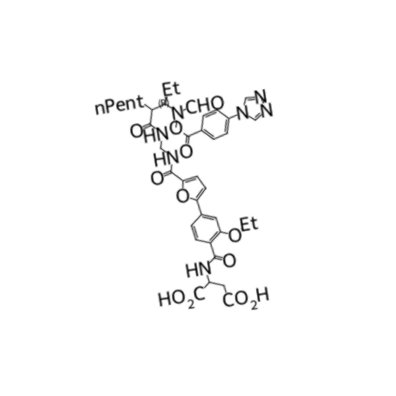 CCCCCC(C(=O)NCNC(=O)c1ccc(-c2ccc(C(=O)NC(CC(=O)O)C(=O)O)c(OCC)c2)o1)[C@@H](CC)N(C=O)OC(=O)c1ccc(-n2cnnc2)cc1